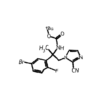 CC(C)(C)OC(=O)NC(C)(Cn1ccnc1C#N)c1cc(Br)ccc1F